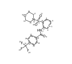 O=C(Nc1ccccc1S(=O)(=O)N1CCOCC1)c1ccc(C(F)(F)F)cc1